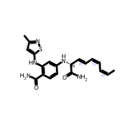 C\C=C/C=C\C=C\[C@@H](Nc1ccc(C(N)=O)c(Nc2cc(C)ns2)c1)C(N)=O